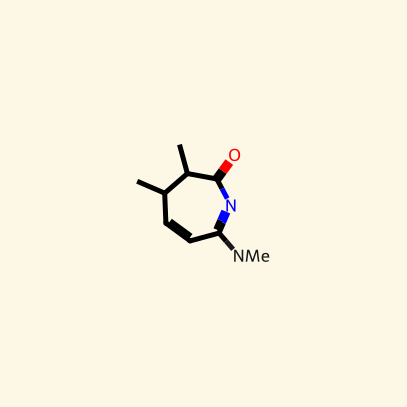 CNC1=NC(=O)C(C)C(C)C=C1